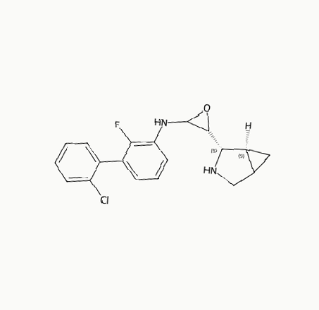 Fc1c(NC2OC2[C@H]2NCC3C[C@@H]32)cccc1-c1ccccc1Cl